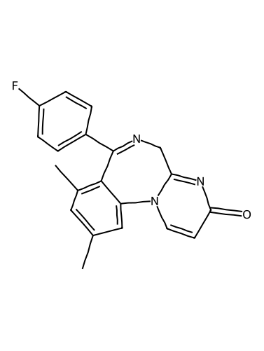 Cc1cc(C)c2c(c1)-n1ccc(=O)nc1CN=C2c1ccc(F)cc1